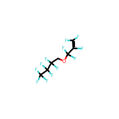 FC(F)=C(F)C(F)(F)OCC(F)(F)C(F)(F)C(F)(F)F